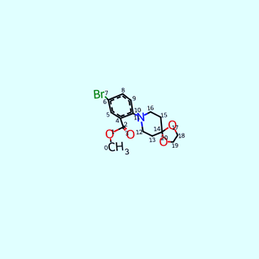 COC(=O)c1cc(Br)ccc1N1CCC2(CC1)OCCO2